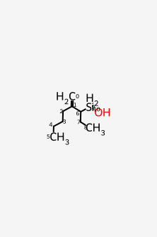 C=C(CCCC)C(CC)[SiH2]O